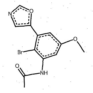 COc1cc(NC(C)=O)c(Br)c(-c2cnco2)c1